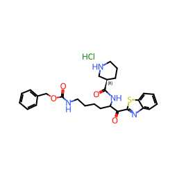 Cl.O=C(NCCCCC(NC(=O)[C@@H]1CCCNC1)C(=O)c1nc2ccccc2s1)OCc1ccccc1